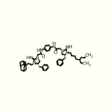 C=CCC(CC)CCCCN1C(=N)N(CC(=O)Nc2ccc(NC(=O)CN3C[C@H](Cc4ccccc4)N(CCC45CC6CC(CC(C6)C4)C5)C3=N)cc2)C[C@@H]1Cc1ccccc1